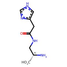 N[C@@H](CNC(=O)Cc1c[nH]cn1)C(=O)O